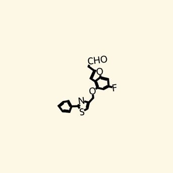 O=CCc1cc2c(OCc3csc(-c4ccccc4)n3)cc(F)cc2o1